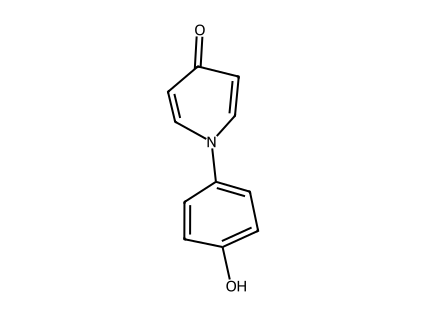 O=c1ccn(-c2ccc(O)cc2)cc1